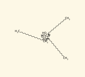 CCCCCCCCCCCCCCCCC(C)C(=O)C(O)C(O)(C(=O)C(C)CCCCCCCCCCCCCCCC)C(O)C(=O)CCCCCCCCCCCCCCC